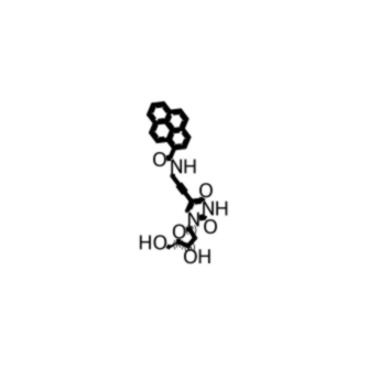 O=C(NCC#Cc1cn([C@H]2C[C@H](O)[C@@H](CO)O2)c(=O)[nH]c1=O)c1ccc2ccc3cccc4ccc1c2c34